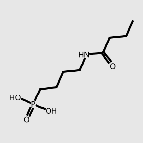 CCCC(=O)NCCCCP(=O)(O)O